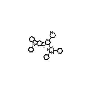 C1=NCCC=C1c1cc(-c2nc(-c3ccccc3)nc(-c3ccccc3)n2)c2oc3cc4c(cc3c2c1)c1ccccc1n4-c1ccccc1